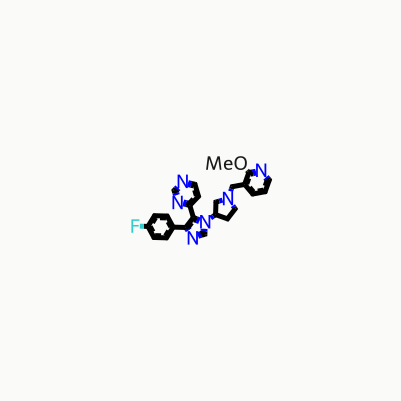 COc1ncccc1CN1CCC(n2cnc(-c3ccc(F)cc3)c2-c2ccncn2)C1